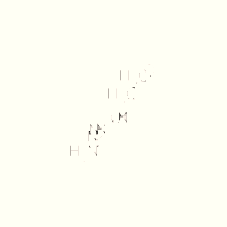 C[C@]12CCC(=NOCCn3cc(CN)nn3)CC1CCC1C2CC[C@]2(C)C(=O)CCC12